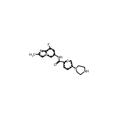 Cc1cn2cc(NC(=O)c3ccc(N4CCNCC4)cc3)cc(F)c2n1